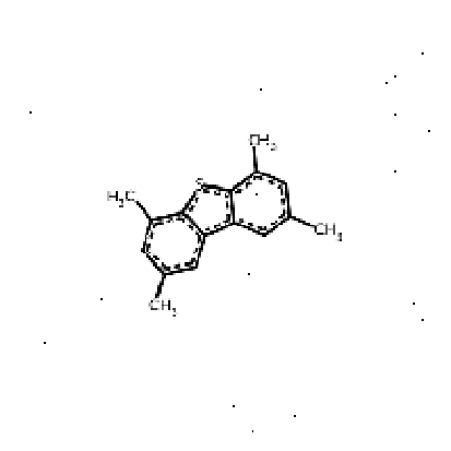 Cc1cc(C)c2sc3c(C)cc(C)cc3c2c1